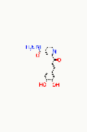 NNC(=O)c1ccnc(C(=O)C=Cc2ccc(O)c(O)c2)c1